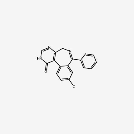 O=c1[nH]cnc2c1-c1ccc(Cl)cc1C(c1ccccc1)=NC2